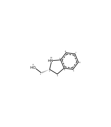 OC[C@H]1Cc2ccccc2N1